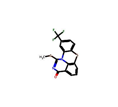 CSc1nc(=O)c2cccc3c2n1-c1cc(C(F)(F)F)ccc1S3